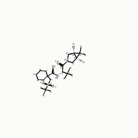 CC(C)(C)[C@H](NC(=O)C1(CS(=O)(=O)C(C)(C)C)CCCCC1)C(=O)N1C[C@@H]2[C@H](C1)C2(C)C